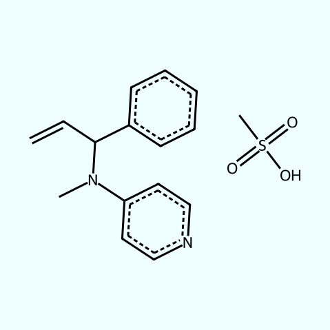 C=CC(c1ccccc1)N(C)c1ccncc1.CS(=O)(=O)O